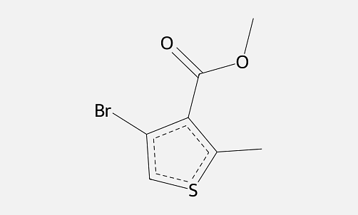 COC(=O)c1c(Br)csc1C